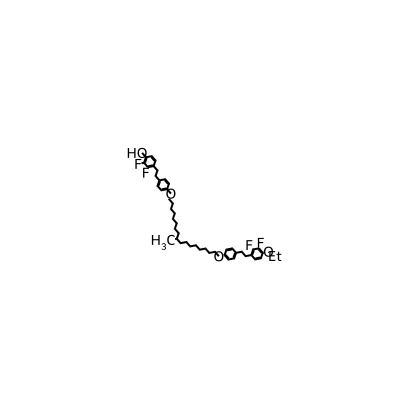 CCOc1ccc(CCc2ccc(OCCCCCCCCC(C)CCCCCCCCOc3ccc(CCc4ccc(O)c(F)c4F)cc3)cc2)c(F)c1F